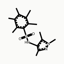 Cc1nn(C)c(C)c1NS(=O)(=O)c1c(C)c(C)c(C)c(C)c1C